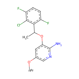 CCCOc1cnc(N)c(OC(C)c2c(F)ccc(F)c2Cl)c1